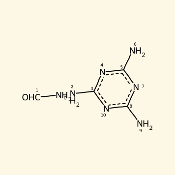 NC=O.Nc1nc(N)nc(N)n1